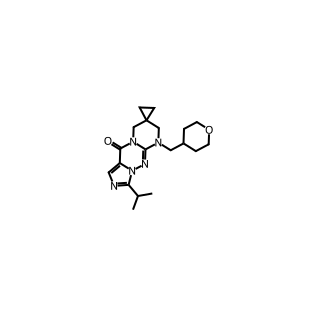 CC(C)c1ncc2c(=O)n3c(nn12)N(CC1CCOCC1)CC1(CC1)C3